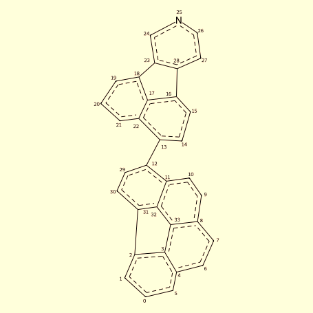 c1cc2c3c(c1)ccc1ccc4c(-c5ccc6c7c(cccc57)-c5cnccc5-6)ccc-2c4c13